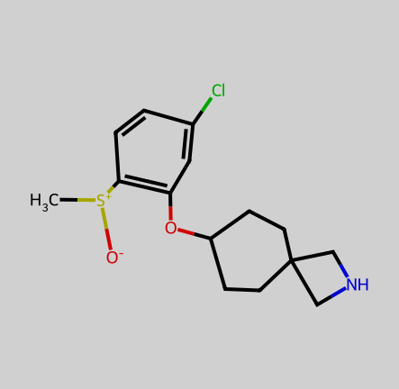 C[S+]([O-])c1ccc(Cl)cc1OC1CCC2(CC1)CNC2